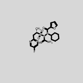 C[C@@H](Cc1ncc(F)cn1)S(=O)(=O)N(C(=N)N)N(C(=O)c1ccco1)C1CCCCC1